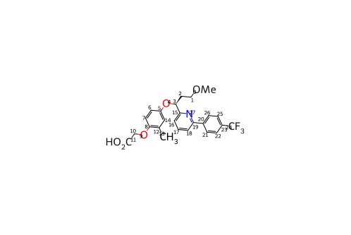 COCC[C@H](Oc1ccc(OCC(=O)O)c(C)c1)c1cccc(-c2ccc(C(F)(F)F)cc2)n1